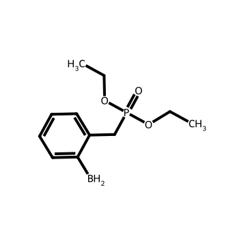 Bc1ccccc1CP(=O)(OCC)OCC